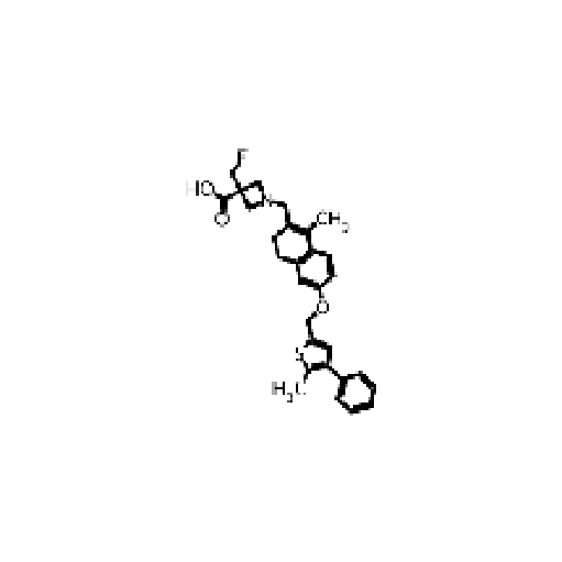 CC1=C(CN2CC(CF)(C(=O)O)C2)CCc2cc(OCc3cc(-c4ccccc4)c(C)s3)ccc21